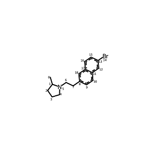 CC1CCCN1CCc1ccc2cc(Br)ccc2c1